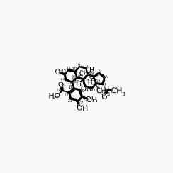 CC(=O)[C@H]1CC[C@H]2[C@@H]3CCC4=CC(=O)CC(c5c(C(=O)O)cc(O)c(O)c5O)[C@]4(C)[C@H]3CC[C@]12C